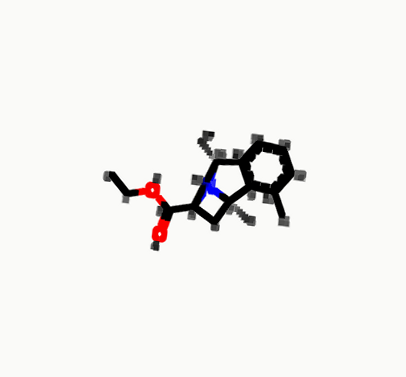 CCOC(=O)C12C[C@]3(C)c4c(C)cccc4[C@@]1(C)N23